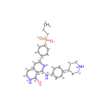 CCCS(=O)(=O)c1ccc(-c2cc3cc[nH]c(=O)c3c(Nc3ccc(C4CCNCC4)cc3)n2)cc1